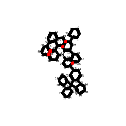 c1ccc(-c2ccc(N(c3ccc(-c4ccc5c(c4)C(c4ccccc4)(c4ccccc4)c4ccccc4-5)cc3)c3ccccc3-c3cccc4cccc(-c5ccccc5)c34)c(-c3ccccc3)c2)cc1